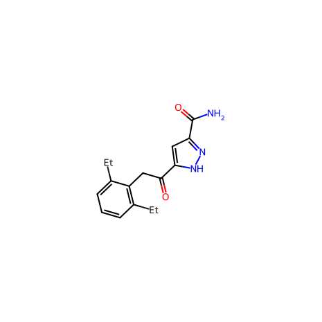 CCc1cccc(CC)c1CC(=O)c1cc(C(N)=O)n[nH]1